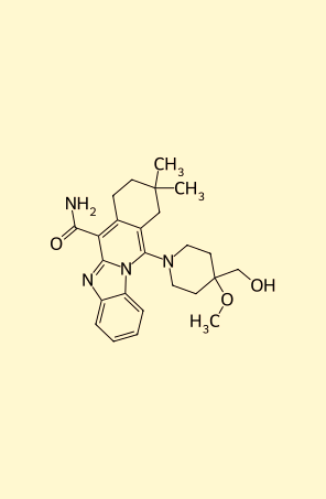 COC1(CO)CCN(c2c3c(c(C(N)=O)c4nc5ccccc5n24)CCC(C)(C)C3)CC1